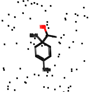 CNC1=CCC(NC)(C(C)O)C=C1